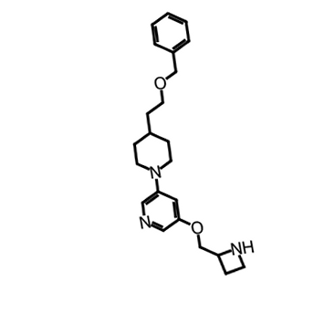 c1ccc(COCCC2CCN(c3cncc(OCC4CCN4)c3)CC2)cc1